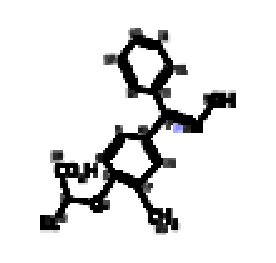 CCC(Oc1ccc(/C(=N/O)c2ccccc2)cc1C)C(=O)O